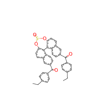 CCc1ccc(C(=O)c2ccc3c4c(ccc3c2)OS(=O)Oc2ccc3cc(C(=O)c5ccc(CC)cc5)ccc3c2-4)cc1